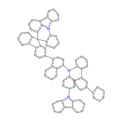 c1ccc(-c2cccc(-c3ccccc3N(c3ccc(-n4c5ccccc5c5ccccc54)cc3)c3ccc(-c4ccc5c(c4)C4(c6ccccc6-5)c5ccccc5-n5c6ccccc6c6cccc4c65)c4ccccc34)c2)cc1